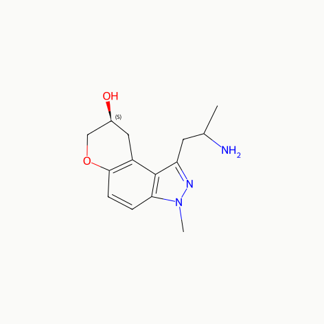 CC(N)Cc1nn(C)c2ccc3c(c12)C[C@H](O)CO3